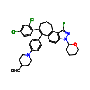 O=CC1CCN(c2ccc(C3=C(c4ccc(Cl)cc4Cl)CCCc4c3ccc3c4c(F)nn3C3CCCCO3)cc2)CC1